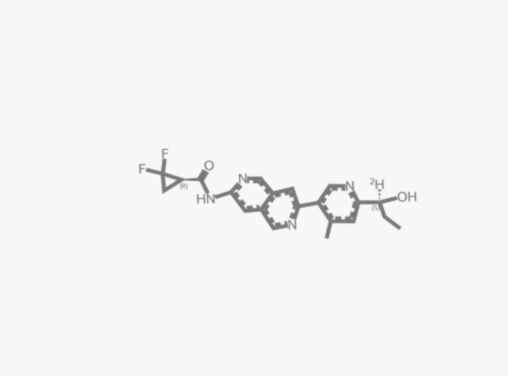 [2H][C@](O)(CC)c1cc(C)c(-c2cc3cnc(NC(=O)[C@H]4CC4(F)F)cc3cn2)cn1